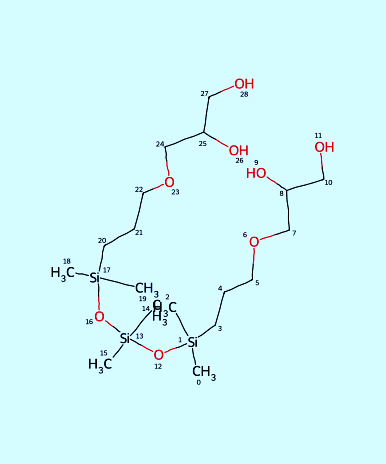 C[Si](C)(CCCOCC(O)CO)O[Si](C)(C)O[Si](C)(C)CCCOCC(O)CO